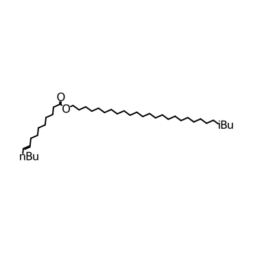 CCCCC=CCCCCCCCC(=O)OCCCCCCCCCCCCCCCCCCCCCCCC(C)CC